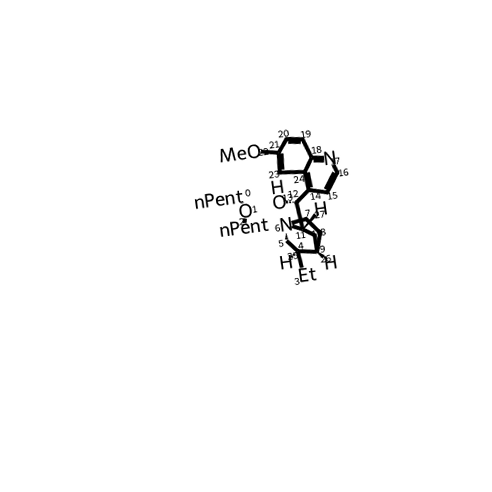 CCCCCOCCCCC.CC[C@H]1C[N@]2CC[C@H]1C[C@H]2[C@H](O)c1ccnc2ccc(OC)cc12